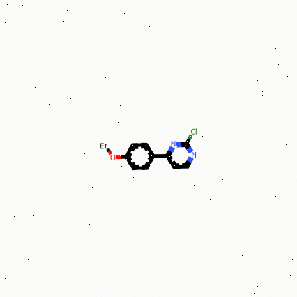 CCOc1ccc(-c2ccnc(Cl)n2)cc1